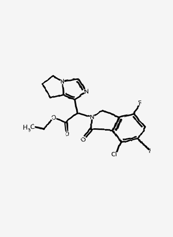 CCOC(=O)C(c1ncn2c1CCC2)N1Cc2c(F)cc(I)c(Cl)c2C1=O